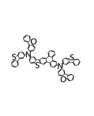 c1ccc2c(c1)oc1ccc(N(c3ccc4sc5ccccc5c4c3)c3ccc4sc5cc6c7ccc(N(c8ccc9oc%10ccccc%10c9c8)c8ccc9sc%10ccccc%10c9c8)cc7c7ccccc7c6cc5c4c3)cc12